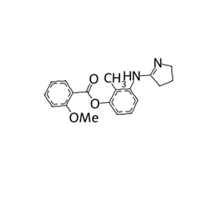 COc1ccccc1C(=O)Oc1cccc(NC2=NCCC2)c1C